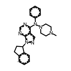 CN1CCN(N(c2ccccc2)c2ncnc3c2cnn3C2CCc3[c]cccc32)CC1